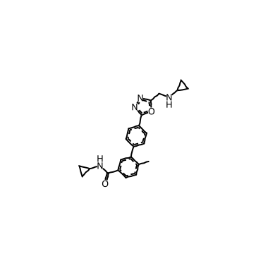 Cc1ccc(C(=O)NC2CC2)cc1-c1ccc(-c2nnc(CNC3CC3)o2)cc1